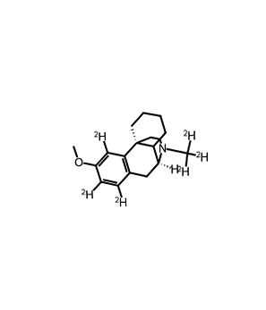 [2H]c1c([2H])c(OC)c([2H])c2c1C[C@H]1C3CCCC[C@@]23CCN1C([2H])([2H])[2H]